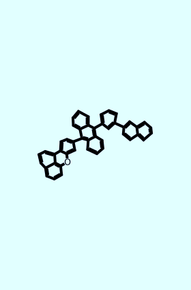 c1cc(-c2ccc3ccccc3c2)cc(-c2c3ccccc3c(-c3ccc4c(c3)Oc3cccc5cccc-4c35)c3ccccc23)c1